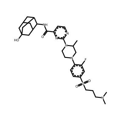 CC1CN(c2ccc(S(=O)(=O)CCCN(C)C)cc2F)CCN1c1nccc(C(=O)NC2C3CC4CC2CC(O)(C4)C3)n1